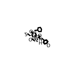 COc1ccc(CNC(=O)N2[C@H]3CN(CC4CCCCC4)C(=O)[C@H](CCSC)N3C(=O)CN2C)cc1